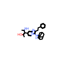 CC(=N)/C(=C(/C)O)c1ccn2c(NC34CC5CC(CC(C5)C3)C4)c(CCc3ccccc3)nc2c1